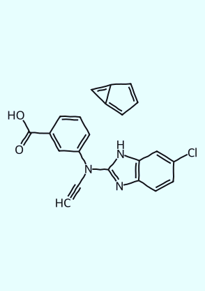 C#CN(c1cccc(C(=O)O)c1)c1nc2ccc(Cl)cc2[nH]1.c1cc2cc-2c1